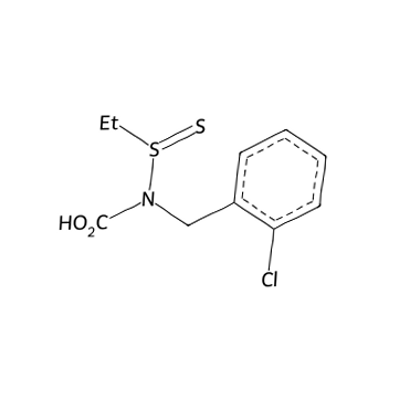 CCS(=S)N(Cc1ccccc1Cl)C(=O)O